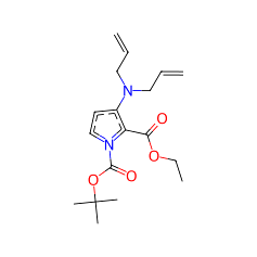 C=CCN(CC=C)c1ccn(C(=O)OC(C)(C)C)c1C(=O)OCC